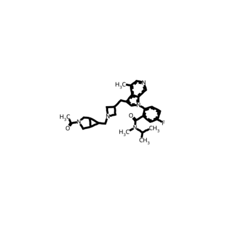 CC(=O)N1CC2C(CN3CC(Cc4cn(-c5ccc(F)cc5C(=O)N(C)C(C)C)c5cncc(C)c45)C3)C2C1